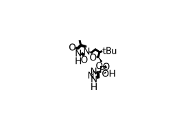 Cc1cn([C@H]2CC(C(C)(C)C)[C@@H](COP(=O)(O)c3c[nH]nn3)O2)c(=O)[nH]c1=O